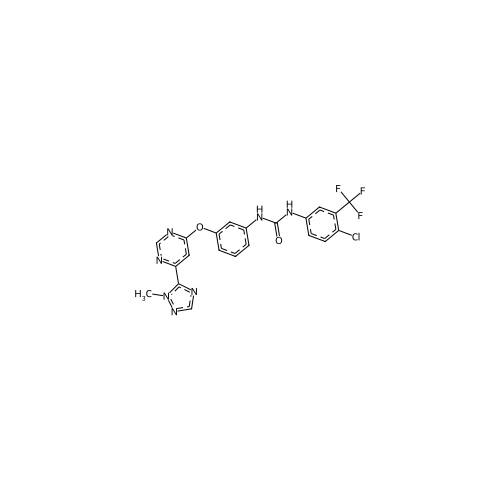 Cn1ncnc1-c1cc(Oc2cccc(NC(=O)Nc3ccc(Cl)c(C(F)(F)F)c3)c2)ncn1